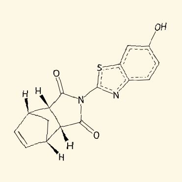 O=C1[C@@H]2[C@H](C(=O)N1c1nc3ccc(O)cc3s1)[C@@H]1C=C[C@H]2C1